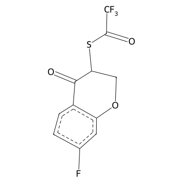 O=C1c2ccc(F)cc2OCC1SC(=O)C(F)(F)F